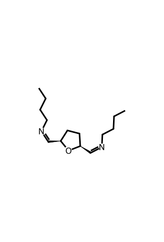 CCCC/N=C\[C@@H]1CC[C@H](/C=N\CCCC)O1